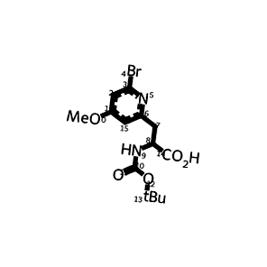 COc1cc(Br)nc(CC(NC(=O)OC(C)(C)C)C(=O)O)c1